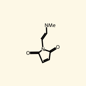 CNC=CN1C(=O)C=CC1=O